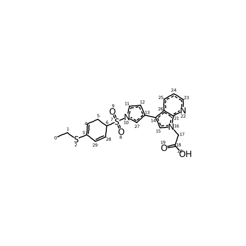 CCSC1=CCC(S(=O)(=O)n2ccc(-c3cn(CC(=O)O)c4ncccc34)c2)C=C1